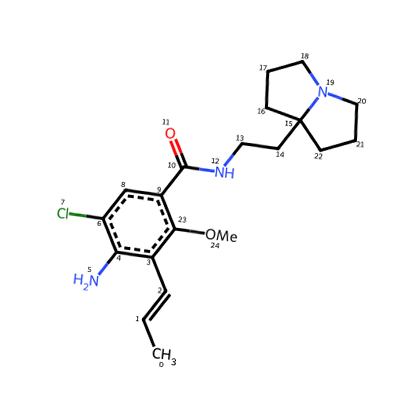 CC=Cc1c(N)c(Cl)cc(C(=O)NCCC23CCCN2CCC3)c1OC